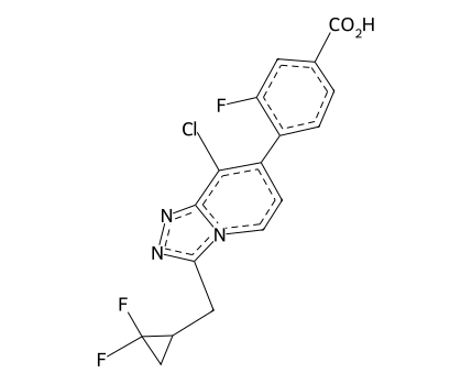 O=C(O)c1ccc(-c2ccn3c(CC4CC4(F)F)nnc3c2Cl)c(F)c1